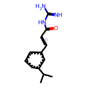 CC(C)c1cccc(/C=C/C(=O)NC(=N)N)c1